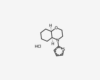 Cl.c1csc(N2CCO[C@@H]3CCCC[C@@H]32)c1